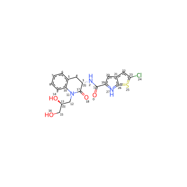 O=C(N[C@H]1Cc2ccccc2N(C[C@H](O)CO)C1=O)c1cc2cc(Cl)sc2[nH]1